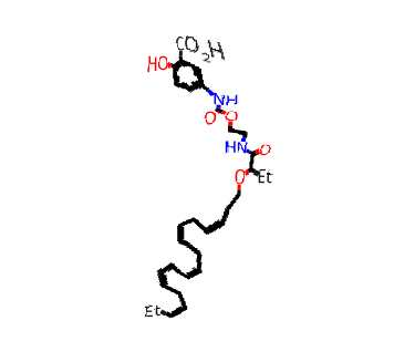 CC/C=C\C/C=C\C/C=C\C/C=C\C/C=C\CCOC(CC)C(=O)NCCOC(=O)Nc1ccc(O)c(C(=O)O)c1